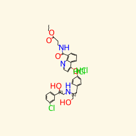 CCOC(=O)CCNC(=O)c1cccc2c(Oc3ccc(C[C@@H](CO)NC[C@H](O)c4cccc(Cl)c4)cc3)ccnc12.Cl.Cl